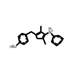 CCCCc1ccc(CC2=C(C)C([SiH2]c3ccccc3)=C(C)C2)cc1